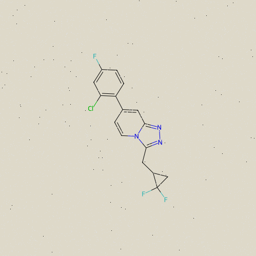 Fc1ccc(-c2ccn3c(CC4CC4(F)F)nnc3c2)c(Cl)c1